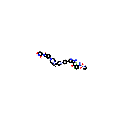 C[C@H]1CCN(c2ccc3c(c2)CN(C2CCC(=O)NC2=O)C3=O)CCCN1CC1CCN(c2ccc(-c3cnc4[nH]cc(C(=O)c5c(F)ccc(NS(=O)(=O)N6CC[C@@H](F)C6)c5F)c4c3)cc2)CC1